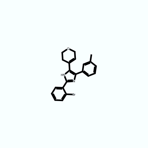 Cc1cccc(-c2nc(-c3ccccc3Br)[nH]c2C2=CCOCC2)c1